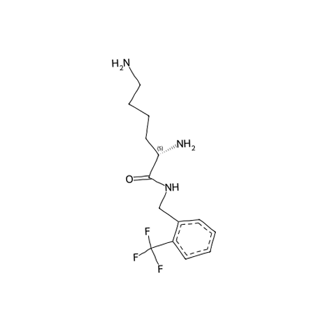 NCCCC[C@H](N)C(=O)NCc1ccccc1C(F)(F)F